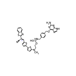 CN(CCOC(O)NCc1ccc(COc2nc(N)nc3[nH]cnc23)cc1)c1ccc(-c2ccc(/C=C(\C#N)c3nc4ccccc4s3)s2)s1